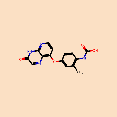 Cc1cc(Oc2ccnc3[nH]c(=O)cnc23)ccc1NC(=O)O